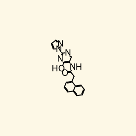 O=C(Cc1cccc2ccccc12)Nc1cnc(-n2cccn2)nc1O